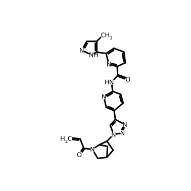 C=CC(=O)N1CC2CC1C(n1cc(-c3ccc(NC(=O)c4cccc(-c5[nH]ncc5C)n4)nc3)nn1)C2